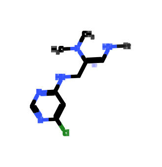 CCN/C=C(/CNc1cc(Cl)ncn1)N(C)C